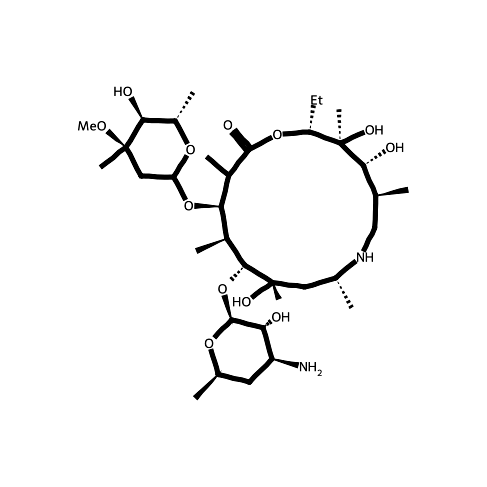 CC[C@H]1OC(=O)C(C)[C@H](OC2C[C@@](C)(OC)[C@@H](O)[C@H](C)O2)[C@H](C)[C@@H](O[C@@H]2O[C@H](C)C[C@H](N)[C@H]2O)[C@@](C)(O)C[C@@H](C)NC[C@H](C)[C@@H](O)[C@]1(C)O